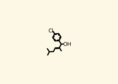 CC(=CCC(C)C)C(O)c1ccc(Cl)cc1